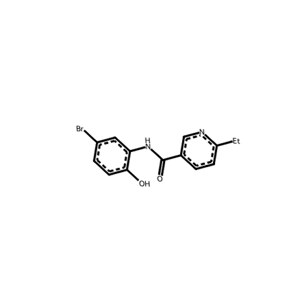 CCc1ccc(C(=O)Nc2cc(Br)ccc2O)cn1